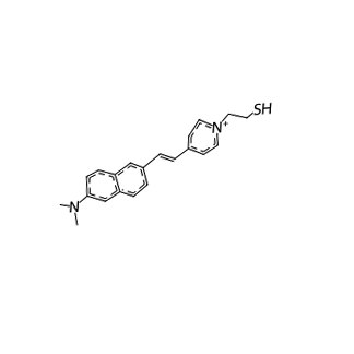 CN(C)c1ccc2cc(/C=C/c3cc[n+](CCS)cc3)ccc2c1